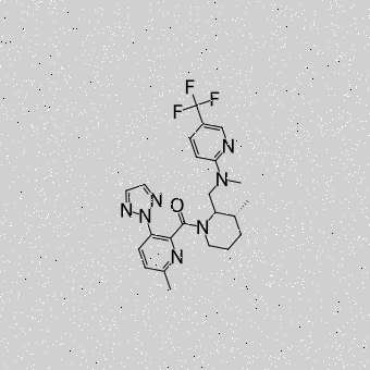 Cc1ccc(-n2nccn2)c(C(=O)N2CCC[C@@H](C)C2CN(C)c2ccc(C(F)(F)F)cn2)n1